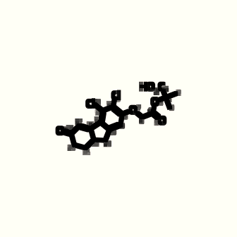 CC(C)(OC(=O)COc1cc2c(c(Cl)c1Cl)C1=CC(=O)CCC1C2)C(=O)O